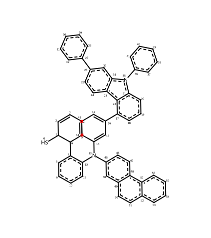 SC1C=CC=CC1c1ccccc1N(C1=CC(c2cccc3c2c2ccc(-c4ccccc4)cc2n3-c2ccccc2)=CCC1)c1ccc2c(ccc3ccccc32)c1